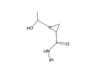 CC(C)NC(=O)C1CN1C(C)O